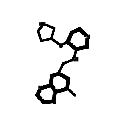 Cc1cc(CNc2cnccc2OC2CCNC2)cc2nccnc12